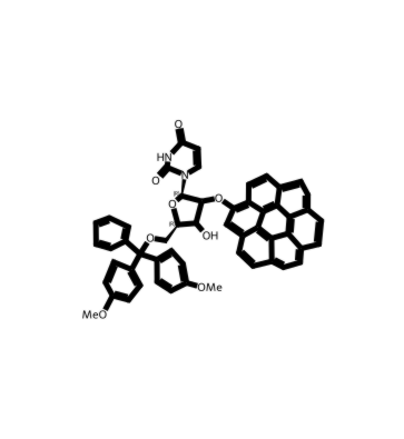 COc1ccc(C(OC[C@H]2O[C@@H](n3ccc(=O)[nH]c3=O)C(Oc3cc4ccc5ccc6ccc7ccc8ccc3c3c8c7c6c5c43)C2O)(c2ccccc2)c2ccc(OC)cc2)cc1